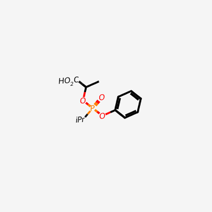 CC(OP(=O)(Oc1ccccc1)C(C)C)C(=O)O